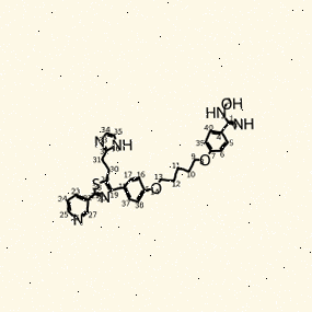 N=C(NO)c1ccc(OCCCCCOc2ccc(-c3nc(-c4cccnc4)sc3CCc3ncc[nH]3)cc2)cc1